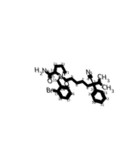 CC(C)[C@@](C#N)(CCCCC(=O)[N@@+]1(Cc2ccccc2Br)CCCC1C(N)=O)c1ccccc1